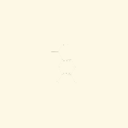 CCCCCCCC([O])c1ccc([N+](=O)[O-])c([N+](=O)[O-])c1